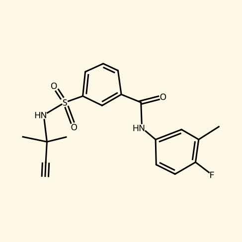 C#CC(C)(C)NS(=O)(=O)c1cccc(C(=O)Nc2ccc(F)c(C)c2)c1